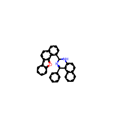 c1ccc(C2=NC(c3cccc4ccc5c6ccccc6oc5c34)Nc3ccc4ccccc4c32)cc1